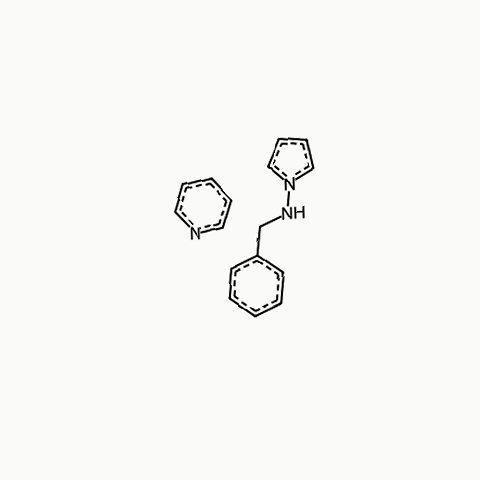 c1ccc(CNn2cccc2)cc1.c1ccncc1